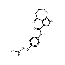 CC(C)NOOc1ccc(NC(=O)c2c[nH]c3c2C(=O)CCCC3)cc1